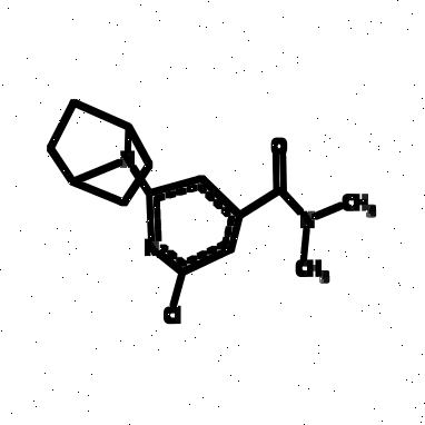 CN(C)C(=O)c1cc(Cl)nc(N2C3CCC2CC3)c1